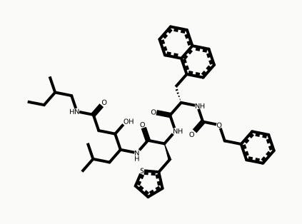 CCC(C)CNC(=O)CC(O)C(CC(C)C)NC(=O)[C@H](Cc1cccs1)NC(=O)[C@H](Cc1cccc2ccccc12)NC(=O)OCc1ccccc1